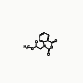 COC(=O)Cn1c(=O)oc(=O)c2ccccc21